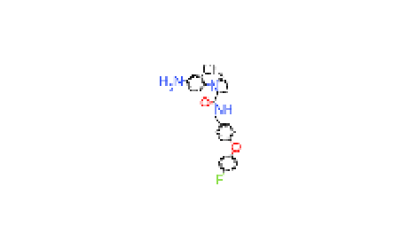 Nc1ccc(-n2cccc2C(=O)NCc2ccc(Oc3ccc(F)cc3)cc2)c(C(F)(F)F)c1